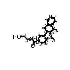 Cc1c2ccncc2cc2c3cc(C(=O)NCCO)ccc3n(C)c12